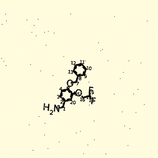 NCc1ccc(OCc2ccccc2)c(OCC(F)F)c1